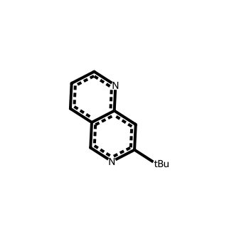 CC(C)(C)c1cc2ncccc2cn1